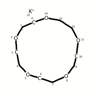 C1COCCOCCOCCOCCO1.[K+]